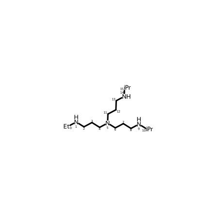 CCNCCCN(CCCNC(C)C)CCCNC(C)C